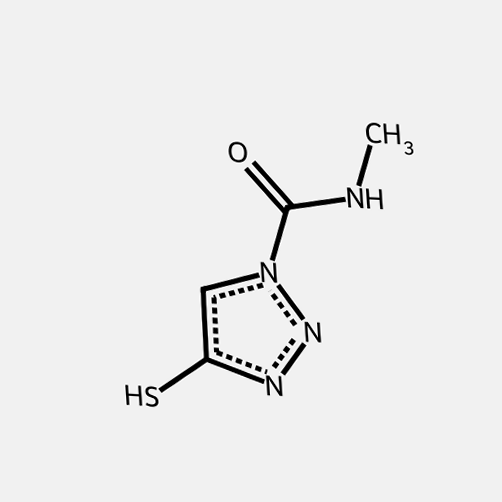 CNC(=O)n1cc(S)nn1